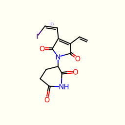 C=CC1=C(/C=C\I)C(=O)N(C2CCC(=O)NC2=O)C1=O